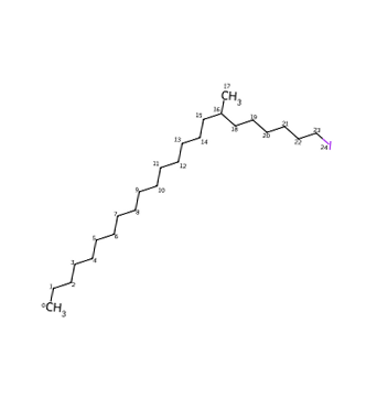 CCCCCCCCCCCCCCCCC(C)CCCCCCI